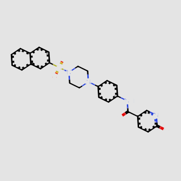 O=C(Nc1ccc(N2CCN(S(=O)(=O)c3ccc4ccccc4c3)CC2)cc1)c1ccc(=O)[nH]c1